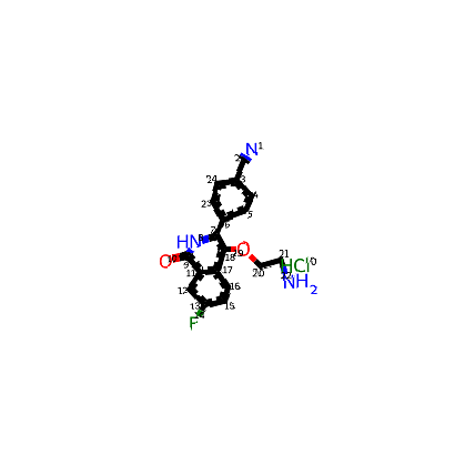 Cl.N#Cc1ccc(-c2[nH]c(=O)c3cc(F)ccc3c2OCCN)cc1